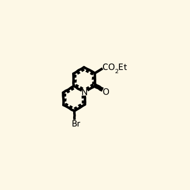 CCOC(=O)c1ccc2ccc(Br)cn2c1=O